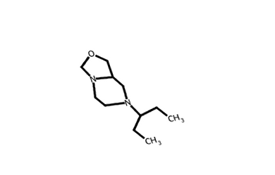 CCC(CC)N1CCN2COCC2C1